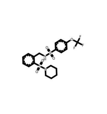 O=S(=O)(NCc1ccccc1S(=O)(=O)N1CCCCC1)c1ccc(OC(F)(F)F)cc1